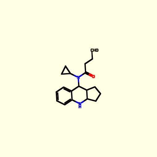 O=CCCC(=O)N(C1CC1)C1c2ccccc2NC2CCCC21